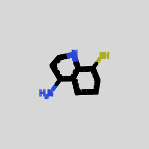 Nc1ccnc2c(S)cccc12